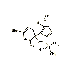 CC(C)(C)C1=CCC(SO[Si](C)(C)C)(C2=[C]([Ti+2])CC=C2)C(C(C)(C)C)=C1.[Cl-].[Cl-]